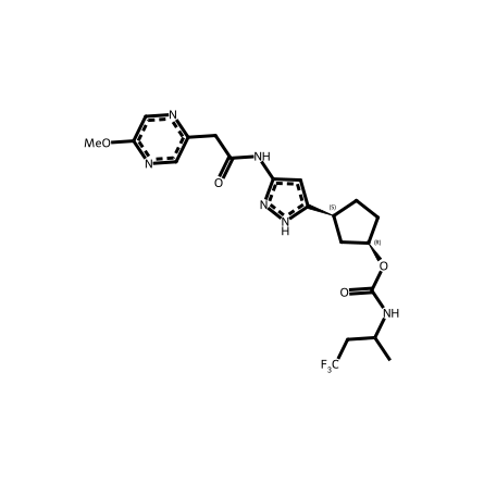 COc1cnc(CC(=O)Nc2cc([C@H]3CC[C@@H](OC(=O)NC(C)CC(F)(F)F)C3)[nH]n2)cn1